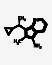 Cc1c(N)c2cccnn2c1[C@@H](C)C1CC1